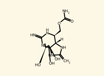 C=C1N[C@H]2[C@H](COC(N)=O)NC(=N)N3C[C@H](O)C(O)(O)[C@]23N1